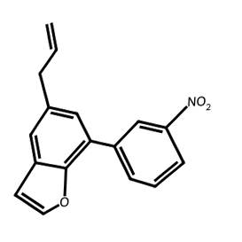 C=CCc1cc(-c2cccc([N+](=O)[O-])c2)c2occc2c1